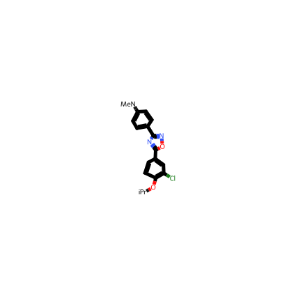 CNc1ccc(-c2noc(-c3ccc(OC(C)C)c(Cl)c3)n2)cc1